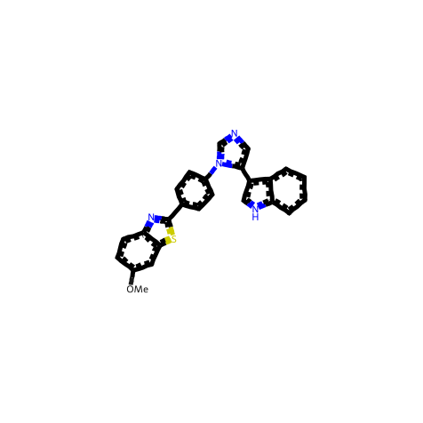 COc1ccc2nc(-c3ccc(-n4cncc4-c4c[nH]c5ccccc45)cc3)sc2c1